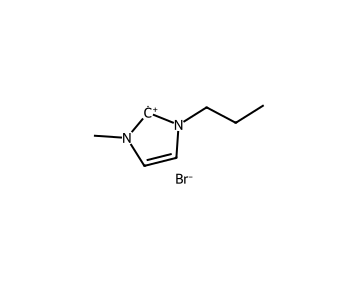 CCCN1[C+]N(C)C=C1.[Br-]